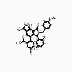 COc1ccc(CN2C(=O)c3c(c(-c4ccc(F)cc4C(N)=O)cc4c(C#N)n[nH]c34)C2c2cc(F)ccc2Cl)cc1